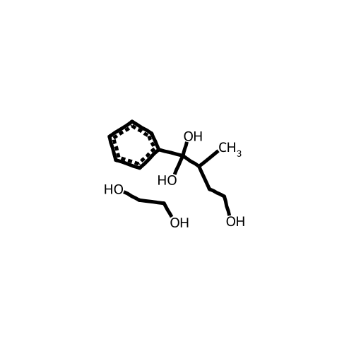 CC(CCO)C(O)(O)c1ccccc1.OCCO